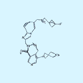 O=c1c2cncc(N3CC4(COC4)C3)c2cnn1Cc1cn2cc(CNCC34CC(F)(C3)C4)ccc2n1